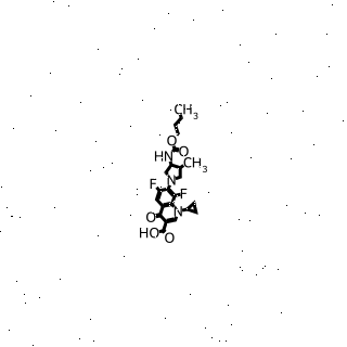 CCCCOC(=O)NC1CN(c2c(F)cc3c(=O)c(C(=O)O)cn(C4CC4)c3c2F)CC1C